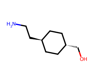 NCC[C@H]1CC[C@H](CO)CC1